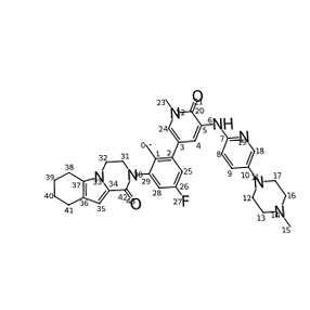 [CH2]c1c(-c2cc(Nc3ccc(N4CCN(C)CC4)cn3)c(=O)n(C)c2)cc(F)cc1N1CCn2c(cc3c2CCCC3)C1=O